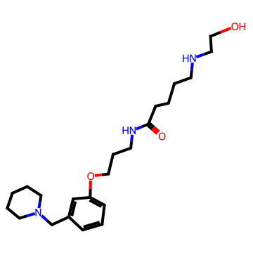 O=C(CCCCNCCO)NCCCOc1cccc(CN2CCCCC2)c1